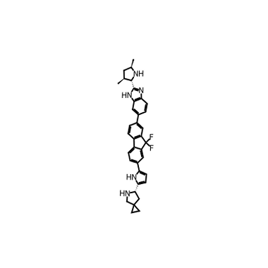 C[C@@H]1C[C@H](C)[C@@H](c2nc3ccc(-c4ccc5c(c4)C(F)(F)c4cc(-c6ccc([C@@H]7CC8(CC8)CN7)[nH]6)ccc4-5)cc3[nH]2)N1